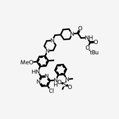 COc1cc(N2CCN(CC3CCN(C(=O)CNC(=O)OC(C)(C)C)CC3)CC2)c(C)cc1Nc1ncc(Cl)c(Nc2ccccc2N(C)S(C)(=O)=O)n1